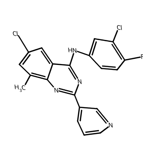 Cc1cc(Cl)cc2c(Nc3ccc(F)c(Cl)c3)nc(-c3cccnc3)nc12